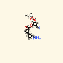 CCOC(=O)Cc1ccc(C#N)cc1OCc1coc2ccc(-c3cccc(CN)c3)cc12